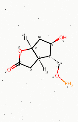 O=C1C[C@@H]2[C@@H](COP)[C@H](O)C[C@@H]2O1